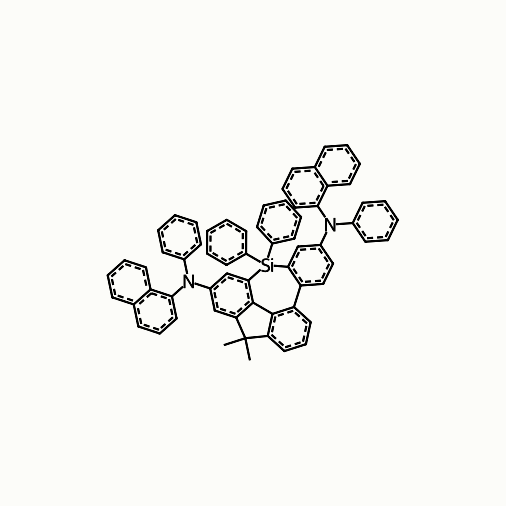 CC1(C)c2cccc3c2-c2c1cc(N(c1ccccc1)c1cccc4ccccc14)cc2[Si](c1ccccc1)(c1ccccc1)c1cc(N(c2ccccc2)c2cccc4ccccc24)ccc1-3